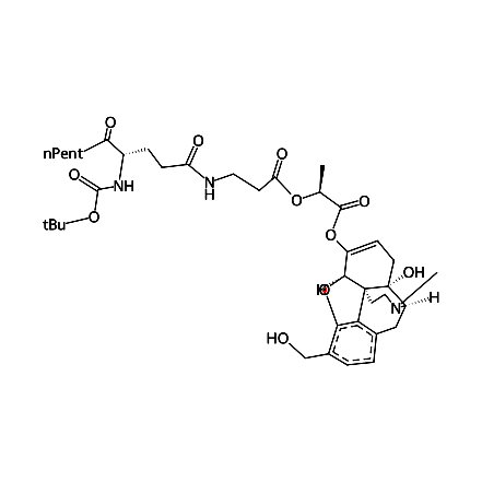 CCCCCC(=O)[C@H](CCC(=O)NCCC(=O)O[C@@H](C)C(=O)OC1=CC[C@@]2(O)[C@H]3Cc4ccc(CO)c5c4[C@@]2(CCN3C)[C@H]1O5)NC(=O)OC(C)(C)C